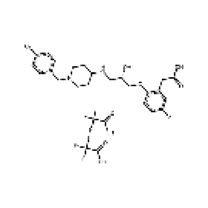 O=C(O)C(F)(F)F.O=C(O)C(F)(F)F.O=C(O)Cc1cc(Cl)ccc1OC[C@@H](O)CNC1CCN(Cc2ccc(Cl)cc2)CC1